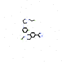 C[C@@H]1Cc2cc(-c3cn[nH]c3)ccc2[C@@H](c2c(F)cc(N[C@H]3CCN(CCCF)C3)cc2F)N1CC(F)F